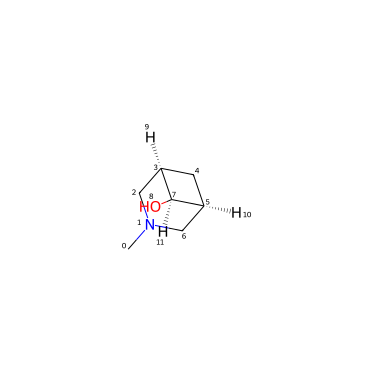 CN1C[C@H]2C[C@@H](C1)[C@H]2O